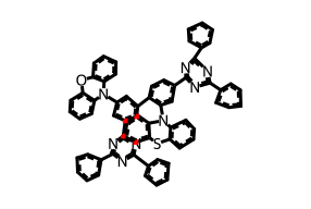 c1ccc(-c2nc(-c3ccccc3)nc(-c3cc(-c4ccc(-c5nc(-c6ccccc6)nc(-c6ccccc6)n5)cc4N4c5ccccc5Sc5ccccc54)cc(N4c5ccccc5Oc5ccccc54)c3)n2)cc1